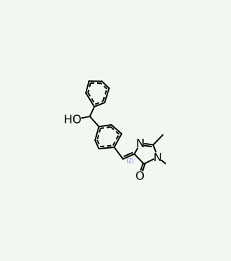 CC1=N/C(=C\c2ccc(C(O)c3ccccc3)cc2)C(=O)N1C